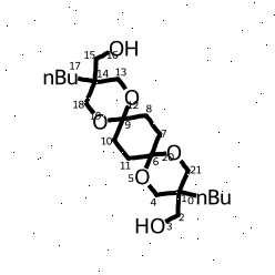 CCCCC1(CO)COC2(CCC3(CC2)OCC(CO)(CCCC)CO3)OC1